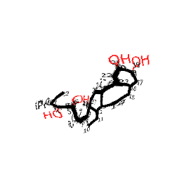 CC(C)[C@H](C)[C@@H](O)[C@H](O)[C@@H](C)[C@H]1CCC2C3CCC4C[C@@H](O)[C@H](O)C[C@]4(C)C3CC[C@@]21C